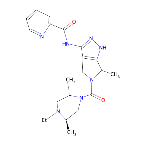 CCN1C[C@H](C)N(C(=O)N2Cc3c(NC(=O)c4ccccn4)n[nH]c3C2C)C[C@H]1C